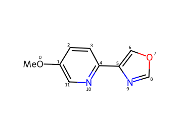 COc1ccc(-c2cocn2)nc1